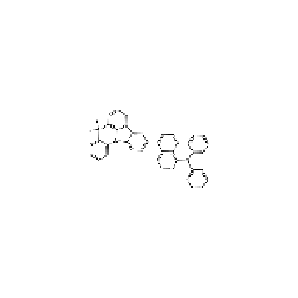 CC1(C)c2ccccc2-n2c3ccc(-c4cccc5c(N(c6ccccc6)c6ccccc6)cccc45)cc3c3cccc1c32